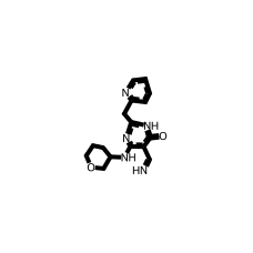 N=Cc1c(NC2CCCOC2)nc(Cc2ccccn2)[nH]c1=O